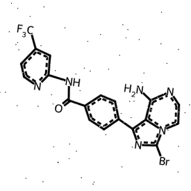 Nc1nccn2c(Br)nc(-c3ccc(C(=O)Nc4cc(C(F)(F)F)ccn4)cc3)c12